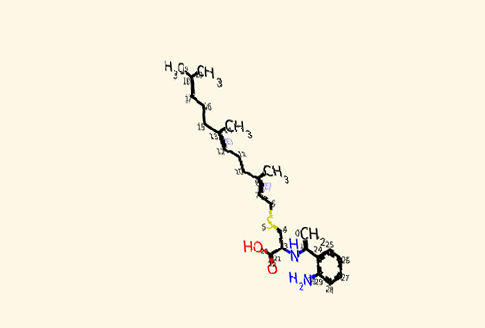 C=C(NC(CSC/C=C(\C)CC/C=C(\C)CCC=C(C)C)C(=O)O)c1ccccc1N